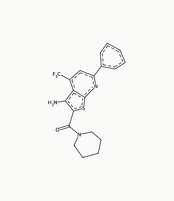 Nc1c(C(=O)N2CCCCC2)sc2nc(-c3ccccc3)cc(C(F)(F)F)c12